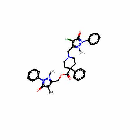 Bc1c(COC(=O)C2(c3ccccc3)CCN(Cc3c(Br)c(=O)n(-c4ccccc4)n3C)CC2)n(C)n(-c2ccccc2)c1=O